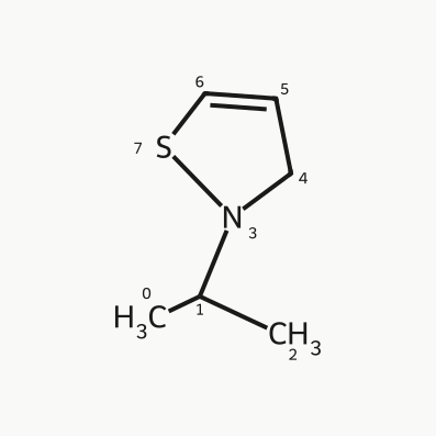 CC(C)N1CC=CS1